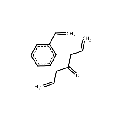 C=CCC(=O)CC=C.C=Cc1ccccc1